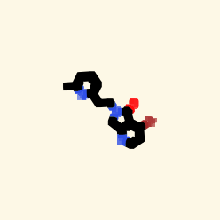 Cc1cccc(CCN2Cc3nccc(Br)c3C2=O)n1